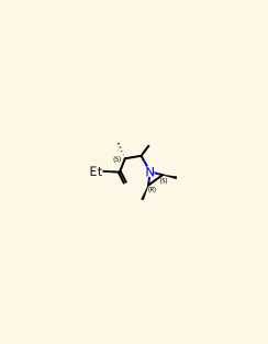 C=C(CC)[C@H](C)C(C)N1[C@H](C)[C@@H]1C